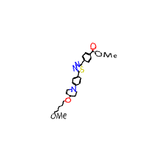 COCCCCCOC1CCN(c2ccc(-c3nnc(-c4ccc(C(=O)OC)cc4)s3)cc2)CC1